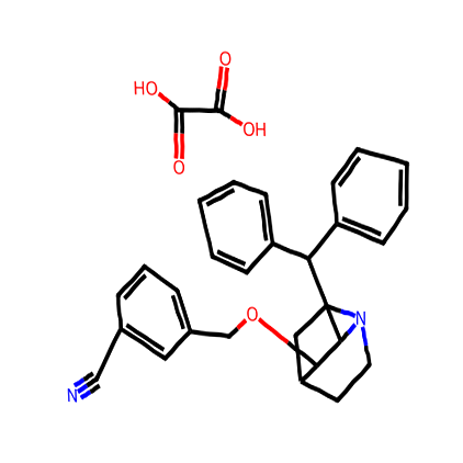 N#Cc1cccc(COC2C3CCN(CC3)C2C(c2ccccc2)c2ccccc2)c1.O=C(O)C(=O)O